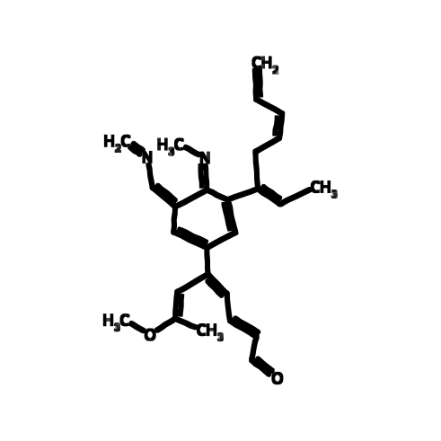 C=C/C=C\C/C(=C\C)C1=CC(C(/C=C(\C)OC)=C/C=C/C=O)=CC(=C/N=C)/C1=N\C